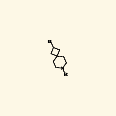 CCC1CC2(CCN(CC)CC2)C1